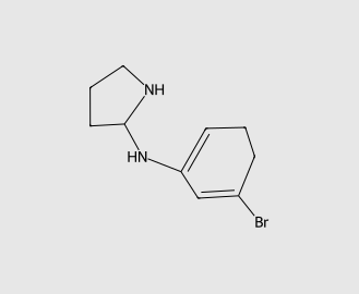 BrC1=CC(NC2CCCN2)=CCC1